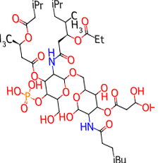 CCC(=O)O[C@@H](CC(=O)NC1C(OCC2OC(O)C(NC(=O)CCC(C)CC)C(OC(=O)CC(O)O)C2O)OC(CO)C(OP(=O)(O)O)C1OC(=O)C[C@@H](C)OC(=O)CC(C)C)C(C)CC(C)C